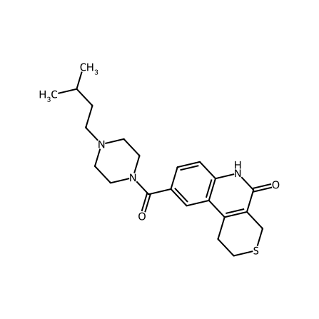 CC(C)CCN1CCN(C(=O)c2ccc3[nH]c(=O)c4c(c3c2)CCSC4)CC1